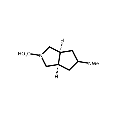 CNC1C[C@@H]2CN(C(=O)O)C[C@@H]2C1